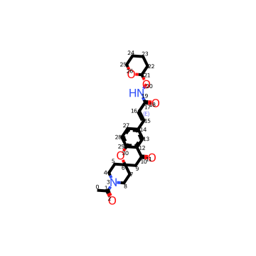 CC(=O)N1CCC2(CC1)CC(=O)c1cc(/C=C/C(=O)NOC3CCCCO3)ccc1O2